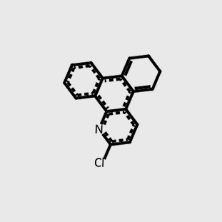 Clc1ccc2c3c(c4ccccc4c2n1)=CCCC=3